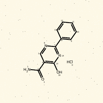 Cl.NC(=O)c1cnc(-c2ccccc2)nc1O